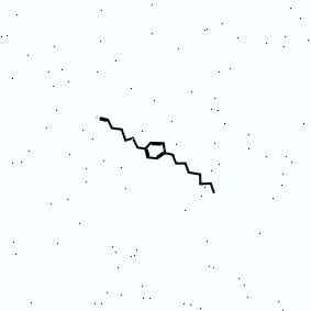 [CH]=CCCCCCc1ccc(CCCCCCCC)cc1